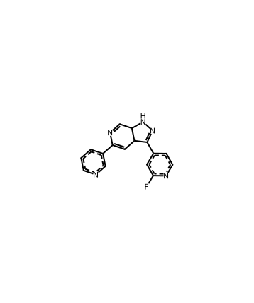 Fc1cc(C2=NNC3C=NC(c4cccnc4)=CC23)ccn1